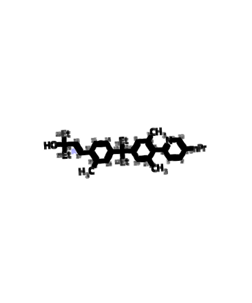 CCCc1ccc(-c2c(C)cc(C(CC)(CC)c3ccc(/C=C/C(O)(CC)CC)c(C)c3)cc2C)nc1